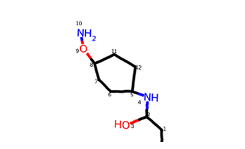 CCC(O)NC1CCC(ON)CC1